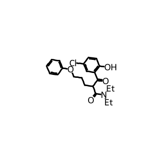 CCN(CC)C(=O)C(CCCOc1ccccc1)C(=O)c1cc(Cl)ccc1O